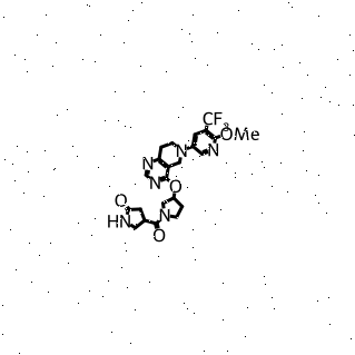 COc1ncc(N2CCc3ncnc(OC4CCN(C(=O)C5CNC(=O)C5)C4)c3C2)cc1C(F)(F)F